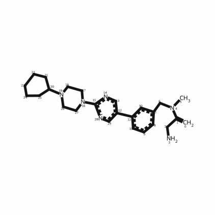 C=C(CN)N(C)Cc1cccc(-c2cnc(N3CCN(C4CCCCC4)CC3)nc2)c1